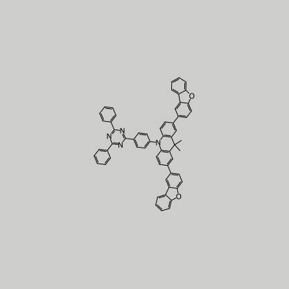 CC1(C)c2cc(-c3ccc4oc5ccccc5c4c3)ccc2N(c2ccc(-c3nc(-c4ccccc4)nc(-c4ccccc4)n3)cc2)c2ccc(-c3ccc4oc5ccccc5c4c3)cc21